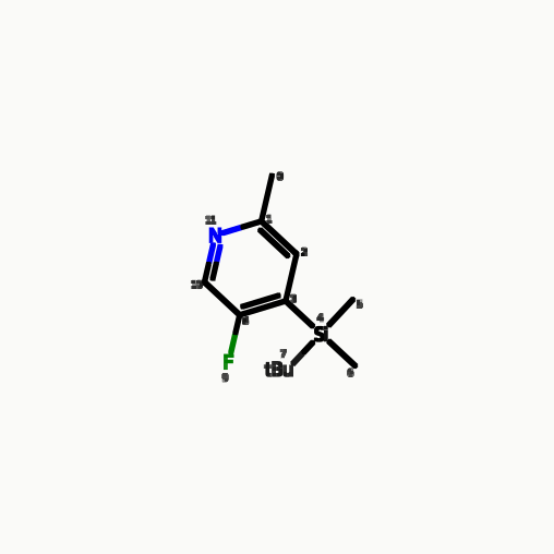 Cc1cc([Si](C)(C)C(C)(C)C)c(F)cn1